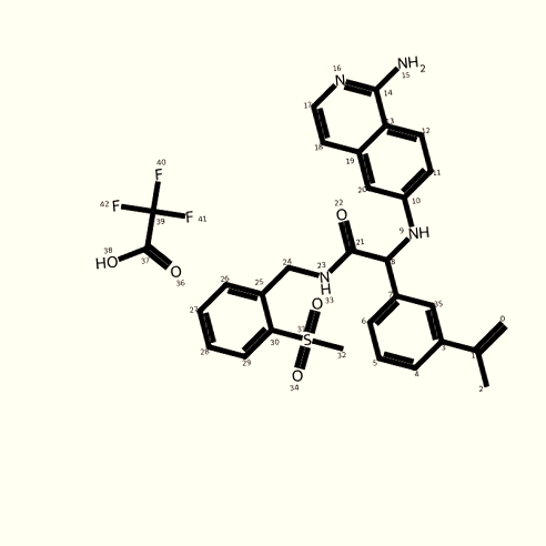 C=C(C)c1cccc(C(Nc2ccc3c(N)nccc3c2)C(=O)NCc2ccccc2S(C)(=O)=O)c1.O=C(O)C(F)(F)F